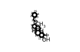 C[C@]12CC[C@@H]3c4cc(I)c(O)cc4CC[C@H]3[C@@H]1CC[C@H]2OCc1ccccc1